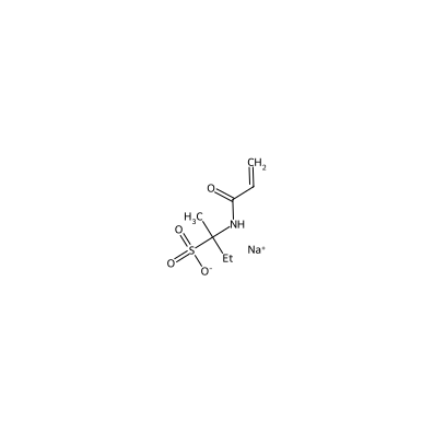 C=CC(=O)NC(C)(CC)S(=O)(=O)[O-].[Na+]